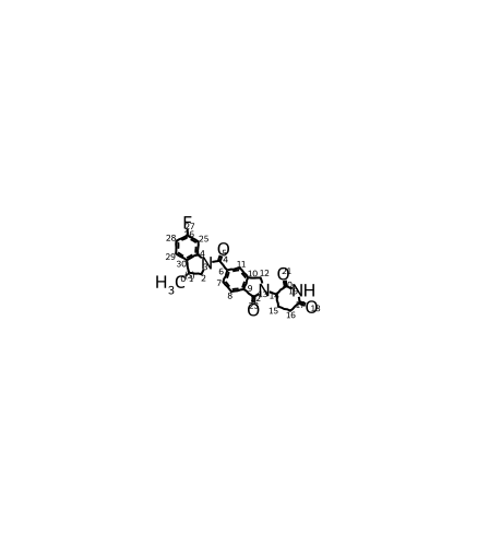 C[C@@H]1CN(C(=O)c2ccc3c(c2)CN(C2CCC(=O)NC2=O)C3=O)c2cc(F)ccc21